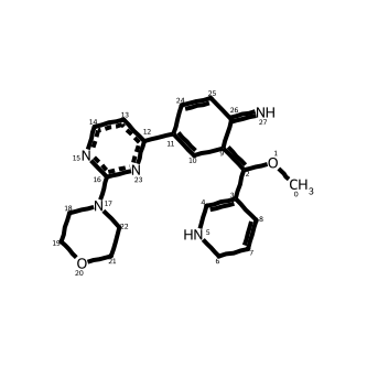 CO/C(C1=CNCC=C1)=C1/C=C(c2ccnc(N3CCOCC3)n2)C=CC1=N